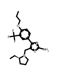 CCCOc1ccc(-c2nc(N)sc2CN2CCC[C@H]2CC)cc1C(F)(F)F